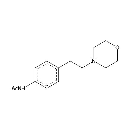 CC(=O)Nc1ccc(CCN2CCOCC2)cc1